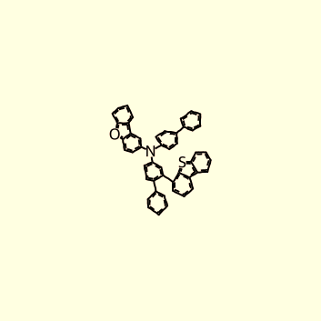 c1ccc(-c2ccc(N(c3ccc(-c4ccccc4)c(-c4cccc5c4sc4ccccc45)c3)c3ccc4oc5ccccc5c4c3)cc2)cc1